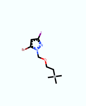 C[Si](C)(C)CCOCn1nc(I)cc1Br